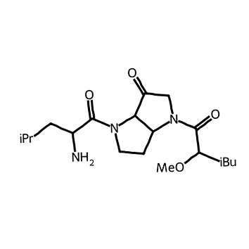 CCC(C)C(OC)C(=O)N1CC(=O)C2C1CCN2C(=O)C(N)CC(C)C